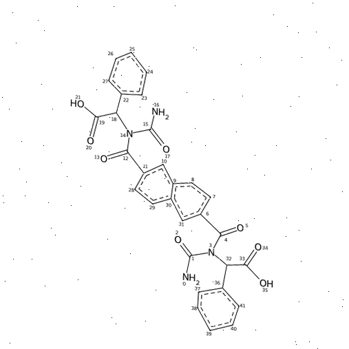 NC(=O)N(C(=O)c1ccc2cc(C(=O)N(C(N)=O)C(C(=O)O)c3ccccc3)ccc2c1)C(C(=O)O)c1ccccc1